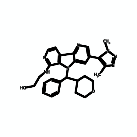 Cc1nnn(C)c1-c1cnc2c3ccnc(NCCO)c3n(C(c3ccccc3)C3CCOCC3)c2c1